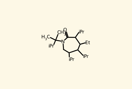 CCC1C(C(C)C)C(=O)N(C(C)(C)C(C)C)CC(C(C)C)C1C(C)C